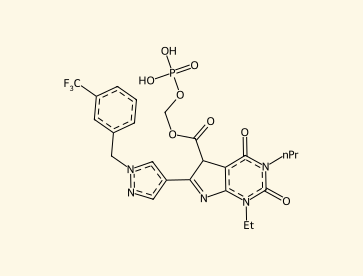 CCCn1c(=O)c2c(n(CC)c1=O)N=C(c1cnn(Cc3cccc(C(F)(F)F)c3)c1)C2C(=O)OCOP(=O)(O)O